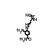 CB(O)NC/C=C/CNc1ccc(C(N)=O)cc1N